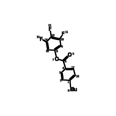 CCC(C)c1ccc(C(=O)Oc2cc(F)c(F)c(F)c2)cc1